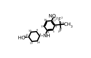 CC(F)(F)c1cc(N[C@H]2CC[C@H](O)CC2)ccc1[N+](=O)[O-]